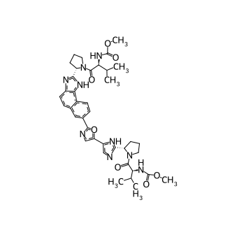 COC(=O)N[C@H](C(=O)N1CCC[C@H]1c1ncc(-c2cnc(-c3ccc4c(ccc5nc([C@@H]6CCCN6C(=O)[C@@H](NC(=O)OC)C(C)C)[nH]c54)c3)o2)[nH]1)C(C)C